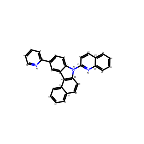 c1ccc(-c2ccc3c(c2)c2c4ccccc4ccc2n3-c2ccc3ccccc3n2)nc1